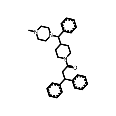 CN1CCN(C(c2ccccc2)C2CCN(C(=O)CC(c3ccccc3)c3ccccc3)CC2)CC1